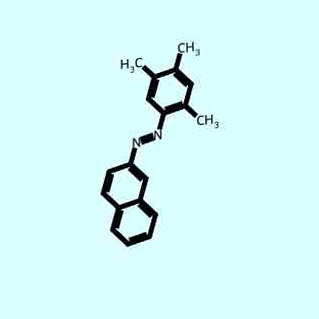 Cc1cc(C)c(N=Nc2ccc3ccccc3c2)cc1C